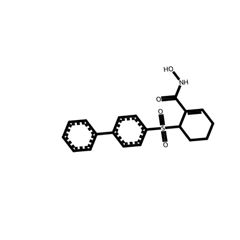 O=C(NO)C1=CCCCC1S(=O)(=O)c1ccc(-c2ccccc2)cc1